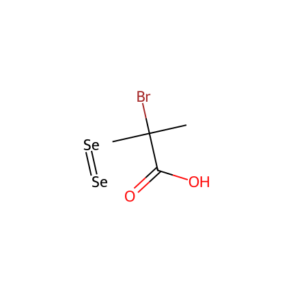 CC(C)(Br)C(=O)O.[Se]=[Se]